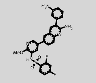 COc1ncc(-c2ccc3nc(N)c(-c4cccc(N)c4)cc3c2)cc1NS(=O)(=O)c1ccc(F)cc1F